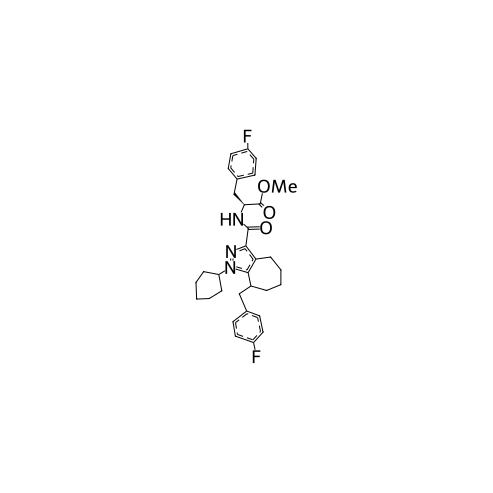 COC(=O)[C@H](Cc1ccc(F)cc1)NC(=O)c1nn(C2CCCCC2)c2c1CCCCC2Cc1ccc(F)cc1